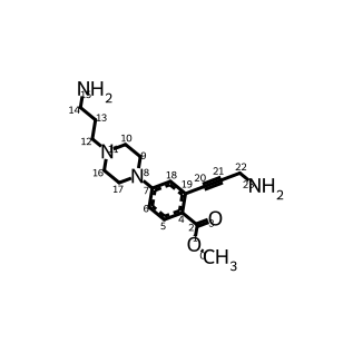 COC(=O)c1ccc(N2CCN(CCCN)CC2)cc1C#CCN